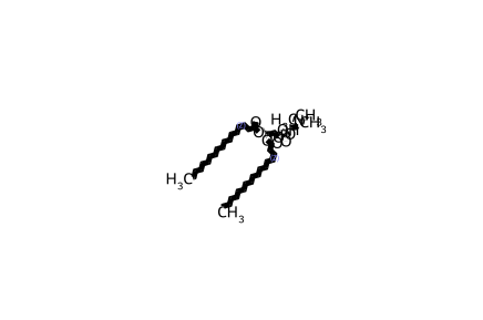 CCCCCCCCCCCCCC/C=C\CC(=O)OC[C@H](COP(=O)(O)OCC[N+](C)(C)C)OC(=O)C/C=C\CCCCCCCCCCCCCC